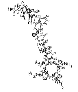 CC(=O)[C@@H](CCC(=O)O)NC(=O)N[C@H](CCCCN(Cc1ccc(I)cc1)C(=O)C1CCC(CNC(=S)Nc2ccc(CC3CN(CC(N)=O)CCN(CC(N)=O)CCN(CC(N)=O)CCN3CC(N)=O)cc2)CC1)C(=O)O